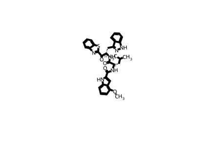 COc1cccc2[nH]c(C(=O)N[C@@H](CC(C)C)C(=O)N[C@@H](Cc3n[nH]c4ccccc34)C(=O)c3nc4ccccc4s3)cc12